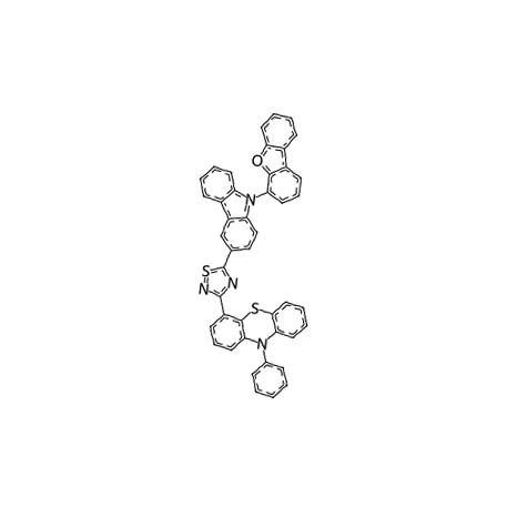 c1ccc(N2c3ccccc3Sc3c(-c4nsc(-c5ccc6c(c5)c5ccccc5n6-c5cccc6c5oc5ccccc56)n4)cccc32)cc1